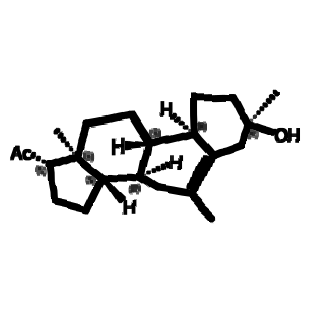 CC(=O)[C@H]1CC[C@H]2[C@@H]3CC(C)=C4C[C@](C)(O)CC[C@@H]4[C@H]3CC[C@]12C